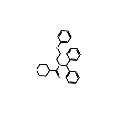 O=C(C1CCNCC1)N(CCOc1ccccc1)C(c1ccccn1)c1ccccn1